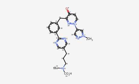 Cn1cc(-n2ccc(=O)c(Cc3cccc(-c4ncc(CCCN(C(=O)O)C(C)(C)C)cn4)c3)n2)cn1